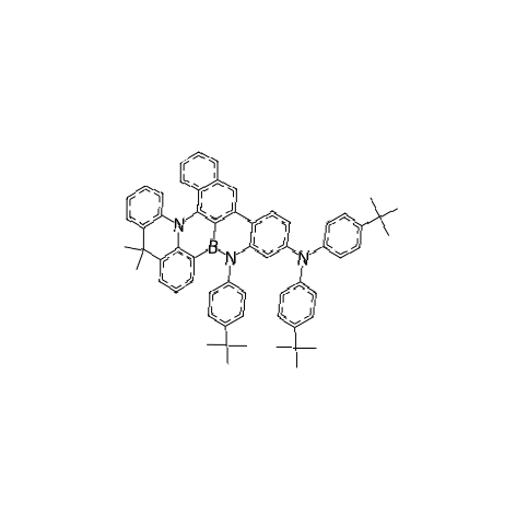 CC(C)(C)c1ccc(N2B3c4cccc5c4N(c4ccccc4C5(C)C)c4c3c(cc3ccccc43)-c3ccc(N(c4ccc(C(C)(C)C)cc4)c4ccc(C(C)(C)C)cc4)cc32)cc1